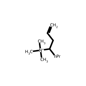 C=CCC(CCC)[N+](C)(C)C